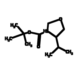 CC(C)C1COC[SH]1C(=O)OC(C)(C)C